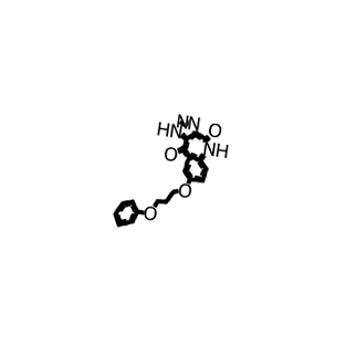 O=c1[nH]c2ccc(OCCCOc3ccccc3)cc2c(=O)c2[nH]nnc12